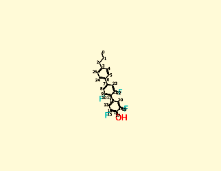 CCCc1ccc(-c2cc(F)c(-c3cc(F)c(O)c(F)c3)c(F)c2)cc1